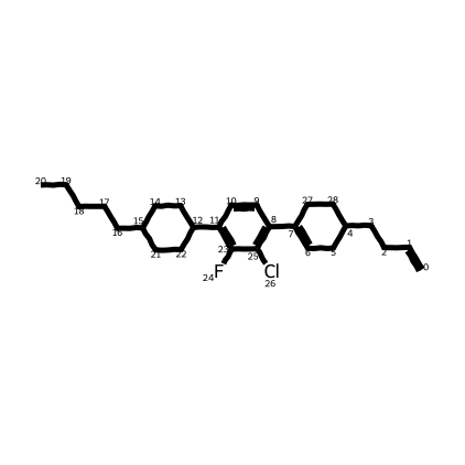 C=CCCC1CC=C(c2ccc(C3CCC(CCCCC)CC3)c(F)c2Cl)CC1